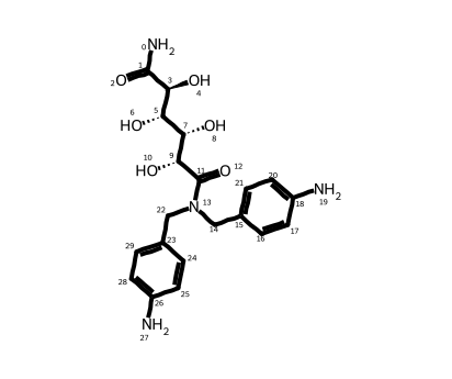 NC(=O)[C@@H](O)[C@@H](O)[C@H](O)[C@@H](O)C(=O)N(Cc1ccc(N)cc1)Cc1ccc(N)cc1